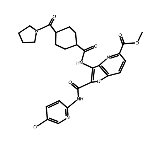 COC(=O)c1ccc2oc(C(=O)Nc3ccc(Cl)cn3)c(NC(=O)C3CCC(C(=O)N4CCCC4)CC3)c2n1